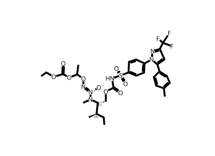 CCOC(=O)OC(C)ON=[N+]([O-])N(C)[C@H](COC(=O)NS(=O)(=O)c1ccc(-n2nc(C(F)(F)F)cc2-c2ccc(C)cc2)cc1)[C@H](C)CC